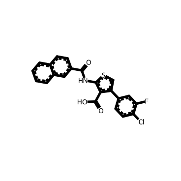 O=C(Nc1scc(-c2ccc(Cl)c(F)c2)c1C(=O)O)c1ccc2ccccc2c1